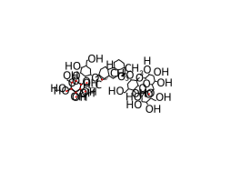 C=C1C[C@@]23CCC4[C@](C)(C(=O)OC5CC(CO)C(O)C(OC6OC(CO)C(O)C(O)C6O)C5OC5OC(CO)C(O)C(O)C5O)CCC[C@@]4(C)[C@@H]2CCC1(OC1CC(CO)C(O)C(OC2OC(CO)C(O)C(O)C2O)C1OC1OC(CO)C(O)C(O)C1O)C3